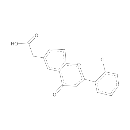 O=C(O)Cc1ccc2oc(-c3ccccc3Cl)cc(=O)c2c1